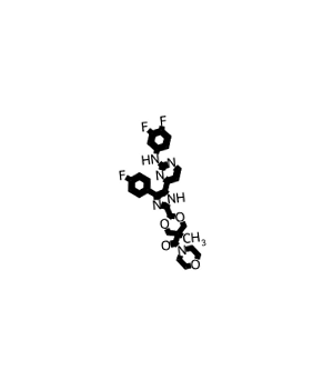 CC1(C(=O)N2CCOCC2)COC(c2nc(-c3ccc(F)cc3)c(-c3ccnc(Nc4ccc(F)c(F)c4)n3)[nH]2)OC1